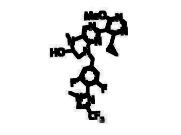 COc1ncnc(C2CC2)c1-c1ncc2c(n1)N(Cc1cc(F)c(-c3nc(C(F)(F)F)cn3C)c(F)c1)CC(O)N2C